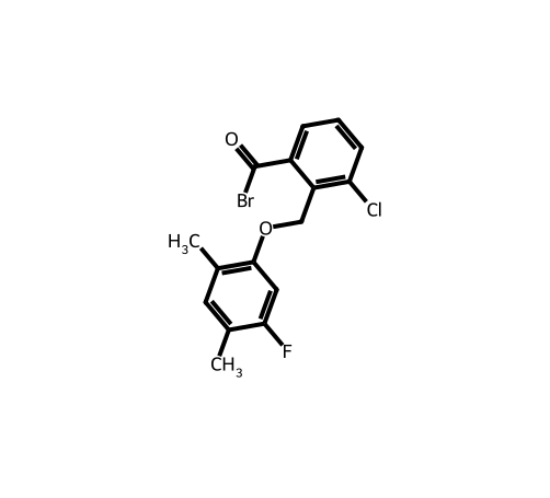 Cc1cc(C)c(OCc2c(Cl)cccc2C(=O)Br)cc1F